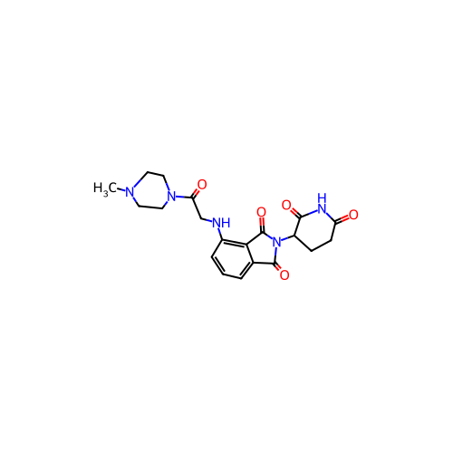 CN1CCN(C(=O)CNc2cccc3c2C(=O)N(C2CCC(=O)NC2=O)C3=O)CC1